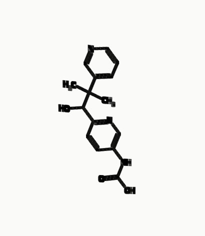 CC(C)(c1cccnc1)C(O)c1ccc(NC(=O)O)cn1